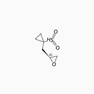 O=[SH](=O)C1(C[C@H]2CO2)CC1